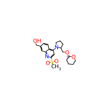 CS(=O)(=O)c1cc(N2CCCC2CO[C@H]2CCCCO2)c2ccc(CO)cc2n1